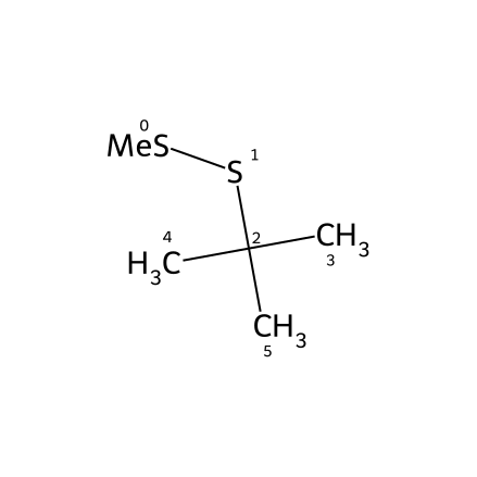 CSSC(C)(C)C